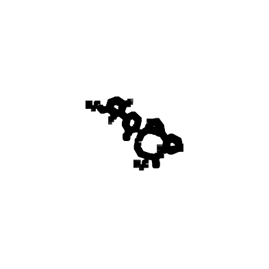 CCc1ccc(F)c(C2=CC(=O)N([C@H]3CCC[C@@H](C)C(=O)Nc4cnccc4-c4ccnc3c4)CC2)c1F